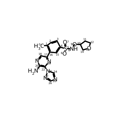 Cc1ccc(S(=O)(=O)NOC2CCOC2)cc1-c1cnc(N)c(-n2cncn2)n1